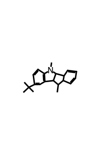 CC1C2C=CC=CC2C2C1c1cc(C(C)(C)C)ccc1N2C